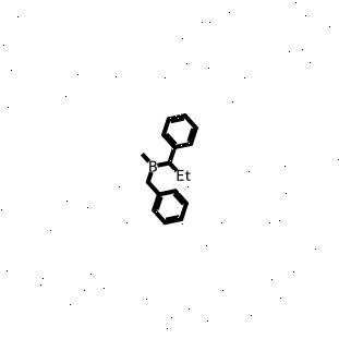 CCC(B(C)Cc1ccccc1)c1ccccc1